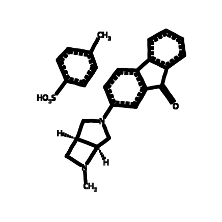 CN1C[C@H]2CN(c3ccc4c(c3)C(=O)c3ccccc3-4)C[C@H]21.Cc1ccc(S(=O)(=O)O)cc1